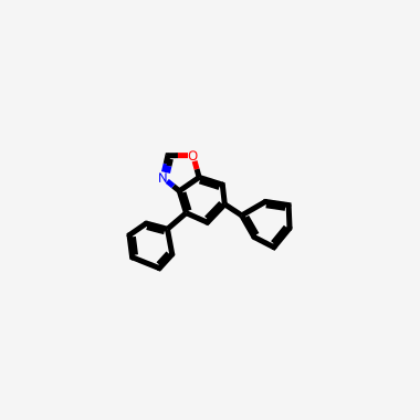 c1ccc(-c2cc(-c3ccccc3)c3ncoc3c2)cc1